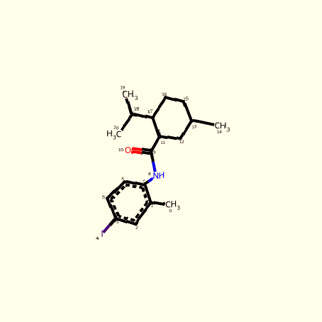 Cc1cc(I)ccc1NC(=O)C1CC(C)CCC1C(C)C